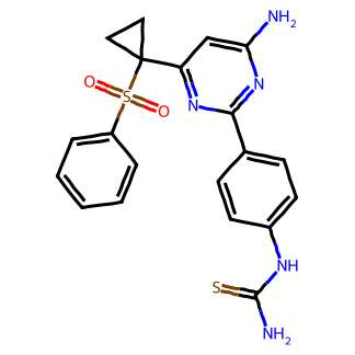 NC(=S)Nc1ccc(-c2nc(N)cc(C3(S(=O)(=O)c4ccccc4)CC3)n2)cc1